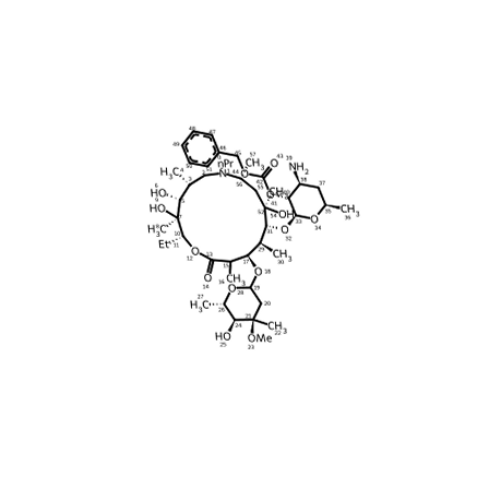 CCCN1C[C@@H](C)[C@@H](O)[C@](C)(O)[C@@H](CC)OC(=O)C(C)[C@H](OC2C[C@@](C)(OC)[C@@H](O)[C@H](C)O2)[C@H](C)[C@@H](O[C@@H]2O[C@H](C)C[C@H](N)[C@H]2OC(=O)OCc2ccccc2)[C@](C)(O)C[C@H]1C